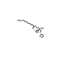 CCCCCCCCCCCCCCCCCC(=O)OCSP(O)(OC[C@@H]1CCCO1)=C1CCC1